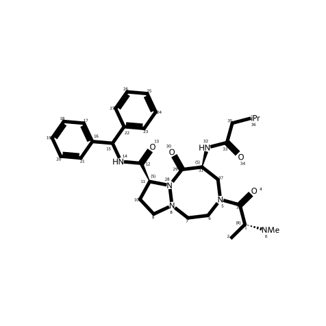 CN[C@H](C)C(=O)N1CCN2CC[C@@H](C(=O)NC(c3ccccc3)c3ccccc3)N2C(=O)[C@@H](NC(=O)CC(C)C)C1